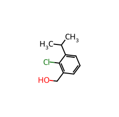 CC(C)c1cccc(CO)c1Cl